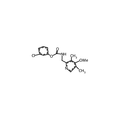 COc1c(C)cnc(CNC(=O)Oc2cccc(Cl)c2)c1C